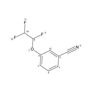 N#Cc1cccc(OC(F)C(F)F)c1